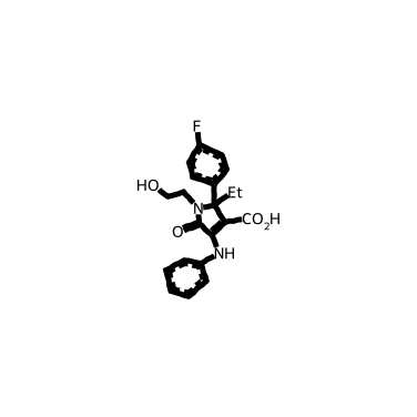 CCC1(c2ccc(F)cc2)C(C(=O)O)=C(Nc2ccccc2)C(=O)N1CCO